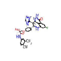 Cn1ncnc1[C@H]1c2n[nH]c(=O)c3cc(F)cc(c23)N[C@@H]1c1ccc(OC[C@](C)(O)C(=O)Nc2ccc(C#N)c(C(F)(F)F)c2)cc1